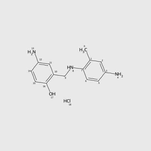 Cc1cc(N)ccc1NCc1cc(N)ccc1O.Cl